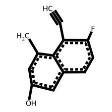 C#Cc1c(F)ccc2cc(O)cc(C)c12